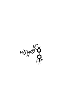 CC(O)CN[C@@H]1CCN(C2=NCCOc3ccc(-c4ccc(C(F)(F)F)cc4)cc32)C1